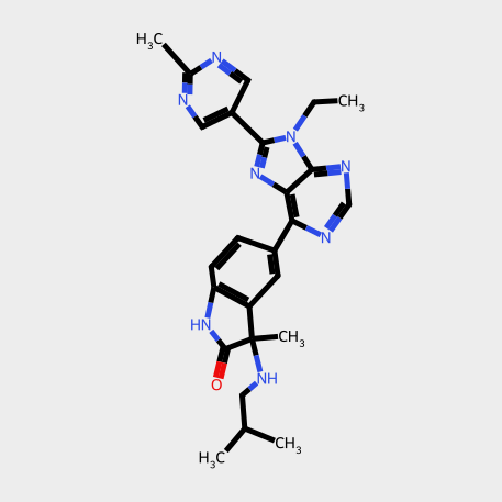 CCn1c(-c2cnc(C)nc2)nc2c(-c3ccc4c(c3)C(C)(NCC(C)C)C(=O)N4)ncnc21